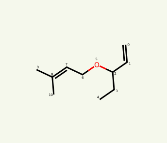 C=CC(CC)OCC=C(C)C